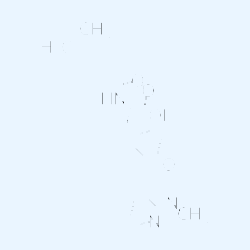 CC(C)C1CCC(C(=O)N[C@H](Cc2ccc(OCCN(C)c3ccccn3)cc2)C(=O)O)CC1